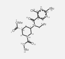 COC(=O)[C@@H]1CC(N(CC(C)C)C(=O)c2cnc(C(C)(C)C)nc2Cl)CN(C(=O)OC(C)(C)C)C1